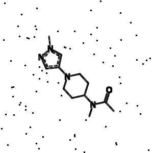 CC(=O)N(C)C1CCN(c2cnn(C)c2)CC1